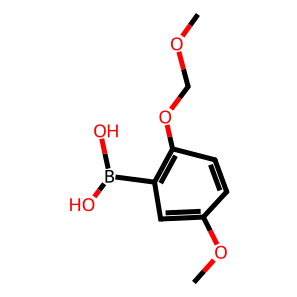 COCOc1ccc(OC)cc1B(O)O